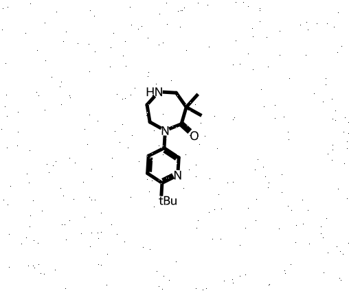 CC1(C)CNCCN(c2ccc(C(C)(C)C)nc2)C1=O